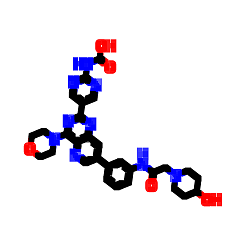 O=C(O)Nc1ncc(-c2nc(N3CCOCC3)c3ncc(-c4cccc(NC(=O)CN5CCC(O)CC5)c4)cc3n2)cn1